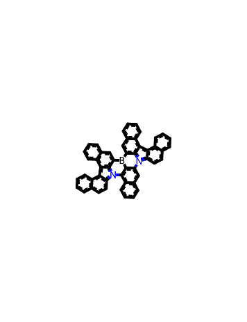 c1ccc2c3c4c(cc2c1)-n1c2ccc5ccccc5c2c2c5ccccc5cc(c21)B4c1cc2ccccc2c2c4c5ccccc5ccc4n-3c12